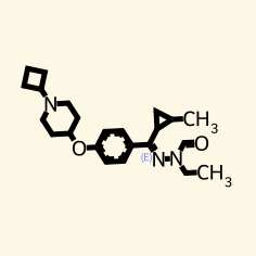 CCN(C=O)/N=C(/c1ccc(OC2CCN(C3CCC3)CC2)cc1)C1CC1C